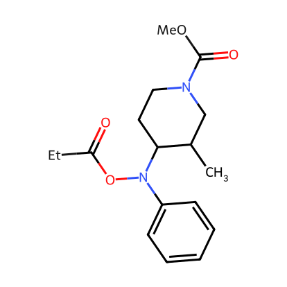 CCC(=O)ON(c1ccccc1)C1CCN(C(=O)OC)CC1C